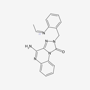 C/C=N\c1ccccc1Cn1nc2c(N)nc3ccccc3n2c1=O